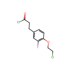 O=C(Cl)CCc1ccc(OCCCl)c(I)c1